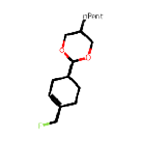 CCCCCC1COC(C2CC=C(CF)CC2)OC1